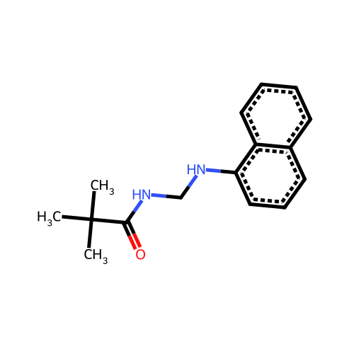 CC(C)(C)C(=O)NCNc1cccc2ccccc12